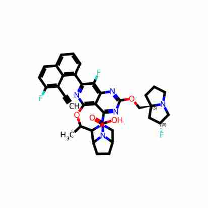 C#Cc1c(F)ccc2cccc(-c3nc4c5c(nc(OC[C@@]67CCCN6C[C@H](F)C7)nc5c3F)N3CC5CCC(C3C(C)O4)N5C(=O)O)c12